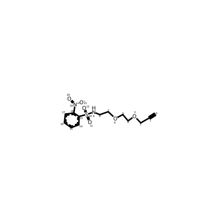 C#CCOCCOCCNS(=O)(=O)c1ccccc1[N+](=O)[O-]